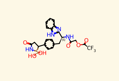 O=C(COC(=O)C(F)(F)F)N[C@@H](Cc1ccc(C2CC(=O)NS2(O)O)cc1)c1nc2ccccc2[nH]1